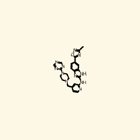 Cc1noc(-c2ccc3nc(Nc4cc(CN5CCN(c6ncncn6)CC5)ccn4)[nH]c3c2)n1